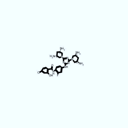 N[C@@H]1C[C@H](N)CN(c2nc(Nc3ccc(NC(=O)c4ccc(Cl)cc4O)c(F)c3)nc(N3C[C@H](N)C[C@H](N)C3)n2)C1